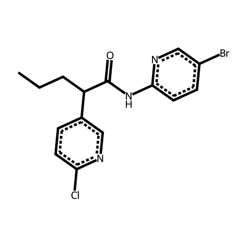 CCCC(C(=O)Nc1ccc(Br)cn1)c1ccc(Cl)nc1